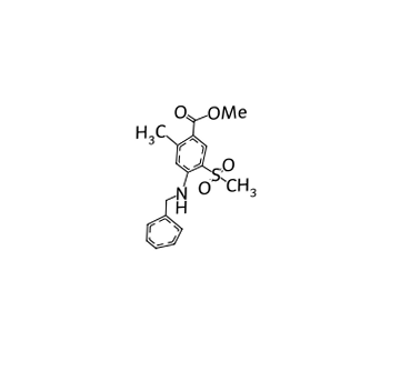 COC(=O)c1cc(S(C)(=O)=O)c(NCc2ccccc2)cc1C